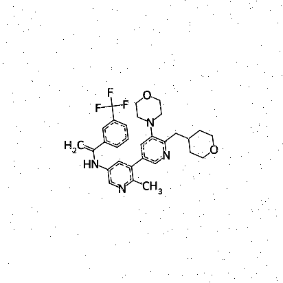 C=C(Nc1cnc(C)c(-c2cnc(CC3CCOCC3)c(N3CCOCC3)c2)c1)c1cccc(C(F)(F)F)c1